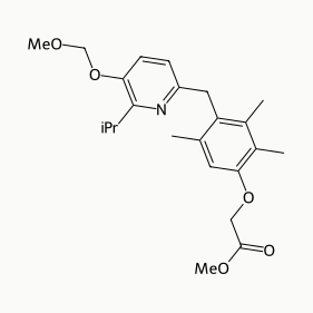 COCOc1ccc(Cc2c(C)cc(OCC(=O)OC)c(C)c2C)nc1C(C)C